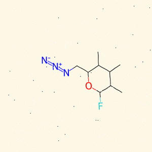 CC1C(F)OC(CN=[N+]=[N-])C(C)C1C